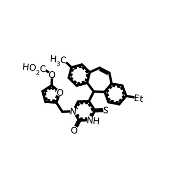 CCc1ccc2c(c1)C=Cc1cc(C)ccc1C2c1cn(Cc2ccc(OC(=O)O)o2)c(=O)[nH]c1=S